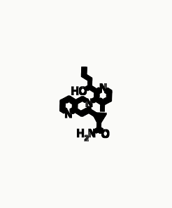 C=CCC(O)c1nccc(C)c1N1Cc2cccnc2C=C1C1CC1C(N)=O